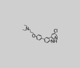 CCN(CC)CCCOc1ccc(-c2ccc3[nH]c4ncc(Cl)cc4c3c2)cc1